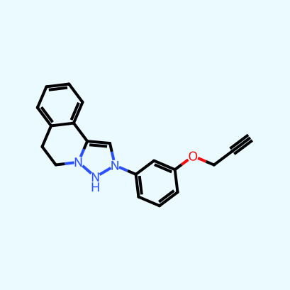 C#CCOc1cccc(N2C=C3c4ccccc4CCN3N2)c1